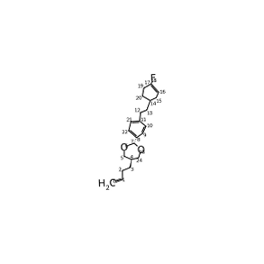 C=CCC[C@H]1CO[C@H](c2ccc(CCC3CC=C(F)CC3)cc2)OC1